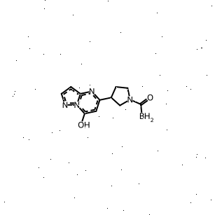 BC(=O)N1CCC(c2cc(O)n3nccc3n2)C1